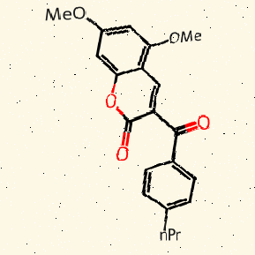 CCCc1ccc(C(=O)c2cc3c(OC)cc(OC)cc3oc2=O)cc1